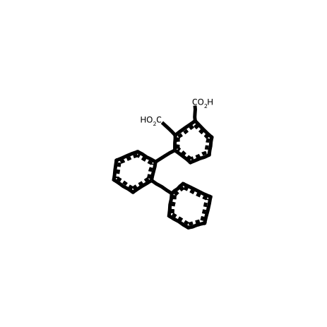 O=C(O)c1cccc(-c2ccccc2-c2ccccc2)c1C(=O)O